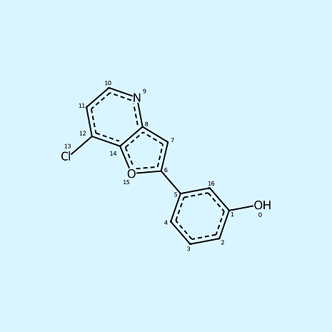 Oc1cccc(-c2cc3nccc(Cl)c3o2)c1